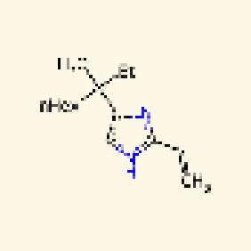 C=Cc1nc(C(C)(CC)CCCCCC)c[nH]1